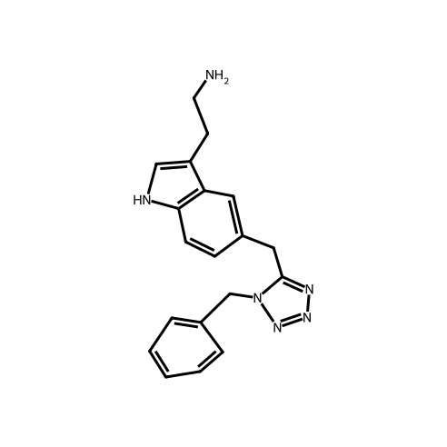 NCCc1c[nH]c2ccc(Cc3nnnn3Cc3ccccc3)cc12